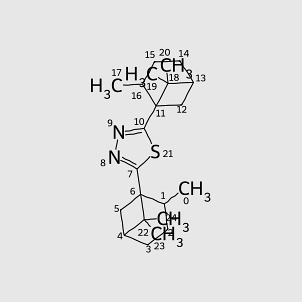 CC1CCC2CC1(c1nnc(C34CC(CCC3C)C4(C)C)s1)C2(C)C